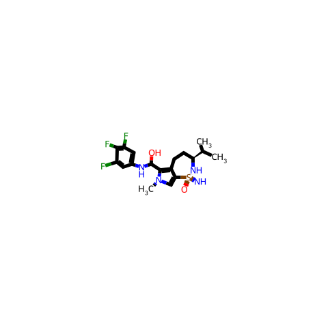 CC(C)[C@@H]1CCc2c(cn(C)c2C(O)Nc2cc(F)c(F)c(F)c2)S(=N)(=O)N1